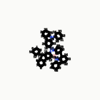 c1ccc(C2c3ccccc3-c3cc4c(cc32)N(c2ccc3c5ccccc5n(-c5ccccc5)c3c2)c2cccc3c2B4n2c4ccccc4c4cccc-3c42)cc1